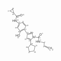 C=CCNC(=O)n1nc(-c2ccc(NC(=O)C3CC3)cc2O)cc1C1CCCC1